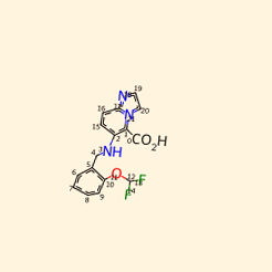 O=C(O)c1c(NCc2ccccc2OC(F)F)ccc2nccn12